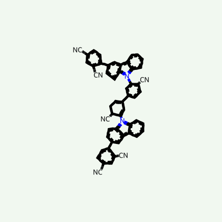 N#Cc1ccc(-c2ccc3c(c2)c2ccccc2n3C2=CC(c3ccc(C#N)c(-n4c5ccccc5c5cc(-c6ccc(C#N)cc6C#N)ccc54)c3)=CCC2C#N)c(C#N)c1